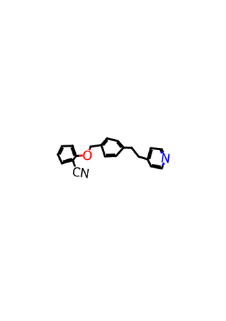 N#Cc1ccccc1OCc1ccc(CCc2ccncc2)cc1